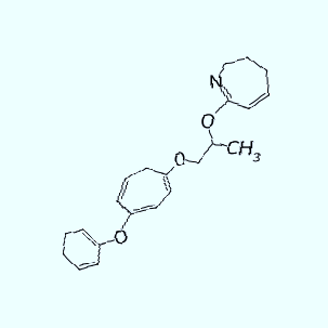 CC(COC1=CC=C(OC2=CCCC=C2)C=CC1)OC1=NCCCC=C1